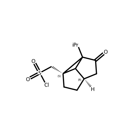 CC(C)C12C(=O)C[C@H]3CC[C@]1(CS(=O)(=O)Cl)C32